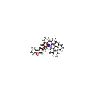 C1=CC(c2ccccc2N(c2cccc(-c3ccc4oc5ccccc5c4c3)c2)c2ccccc2-c2cccc3cccc(C4CCCCC4)c23)=C2Oc3ccccc3C2C1